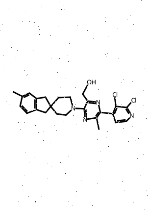 Cc1ccc2c(c1)CC1(CCN(c3nc(C)c(-c4ccnc(Cl)c4Cl)nc3CO)CC1)C2